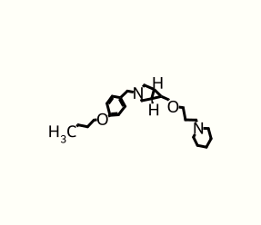 CCCCOc1ccc(CN2C[C@@H]3C(COCCCN4CCCCC4)[C@@H]3C2)cc1